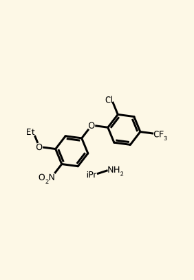 CC(C)N.CCOc1cc(Oc2ccc(C(F)(F)F)cc2Cl)ccc1[N+](=O)[O-]